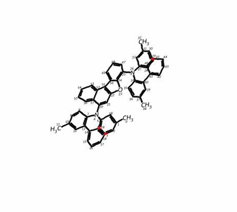 Cc1cccc(N(c2ccc(C)cc2-c2ccccc2)c2cc3oc4c(N(c5cccc(C)c5)c5ccc(C)cc5-c5ccccc5)cccc4c3c3ccccc23)c1